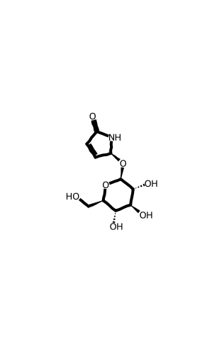 O=C1C=C[C@H](O[C@@H]2O[C@H](CO)[C@@H](O)[C@H](O)[C@H]2O)N1